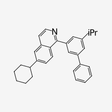 CC(C)c1cc(-c2ccccc2)cc(-c2nccc3cc(C4CCCCC4)ccc23)c1